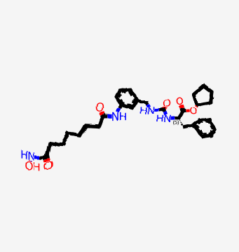 O=C(CCCCCCC(=O)Nc1cccc(CNC(=O)N[C@@H](Cc2ccccc2)C(=O)OC2CCCC2)c1)NO